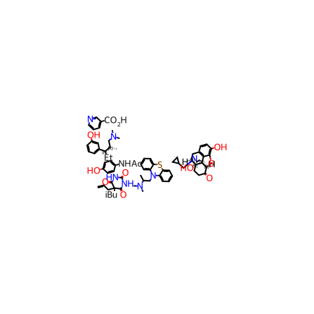 C=CCC1(C(C)CC)C(=O)NC(=O)NC1=O.CC(=O)Nc1ccc(O)cc1.CC(CN1c2ccccc2Sc2ccccc21)N(C)C.CC[C@@H](c1cccc(O)c1)[C@@H](C)CN(C)C.O=C(O)c1cccnc1.O=C1CC[C@@]2(O)[C@H]3Cc4ccc(O)c5c4[C@@]2(CCN3CC2CC2)[C@H]1O5